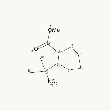 COC(=O)C1CCCCC1C(C)(C)[N+](=O)[O-]